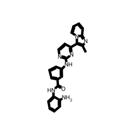 Cc1nc2ccccn2c1-c1ccnc(Nc2cccc(C(=O)Nc3ccccc3N)c2)n1